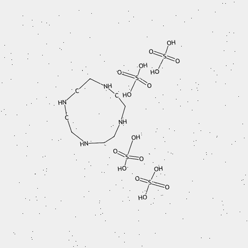 C1CNCCNCCNCCN1.O=S(=O)(O)O.O=S(=O)(O)O.O=S(=O)(O)O.O=S(=O)(O)O